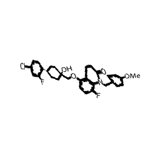 COc1ccc(CN2C(=O)CCc3c(OC[C@]4(O)CC[C@H](c5ccc(Cl)cc5F)CC4)ccc(F)c32)cc1